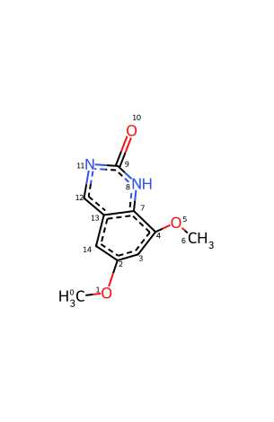 COc1cc(OC)c2[nH]c(=O)ncc2c1